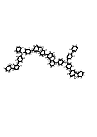 c1ccc(-c2ccc(N(c3ccc(-c4ccc5oc6ccccc6c5c4)cc3)c3ccc(-c4cccc5c4sc4ccc(-c6ccc7c(c6)oc6ccc(-c8ccc(N(c9ccccc9)c9ccc(-c%10cccc%11c%10sc%10ccccc%10%11)cc9)cc8)cc67)cc45)cc3)cc2)cc1